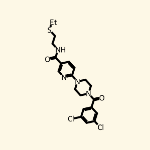 CCSCCNC(=O)c1ccc(N2CCN(C(=O)c3cc(Cl)cc(Cl)c3)CC2)nc1